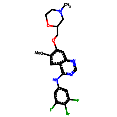 COc1cc2c(Nc3cc(F)c(Br)c(F)c3)ncnc2cc1OCC1CN(C)CCO1